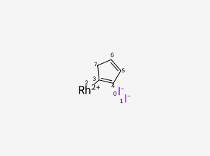 [I-].[I-].[Rh+2][C]1=CC=CC1